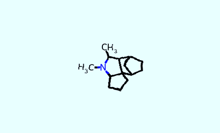 CC1C2C3CCC(C3)C23CCCC3N1C